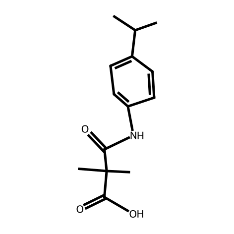 CC(C)c1ccc(NC(=O)C(C)(C)C(=O)O)cc1